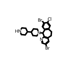 Clc1cc2c(cc1Br)C(N1CCC(C3CCNCC3)CC1)c1ncc(Br)cc1CC2